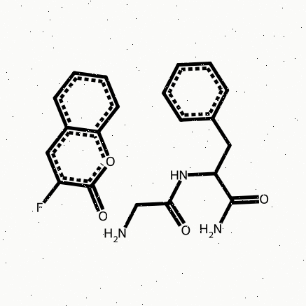 NCC(=O)NC(Cc1ccccc1)C(N)=O.O=c1oc2ccccc2cc1F